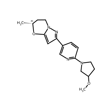 COC1CCN(c2ccc(-c3cc4n(n3)CC[C@@H](C)O4)cn2)C1